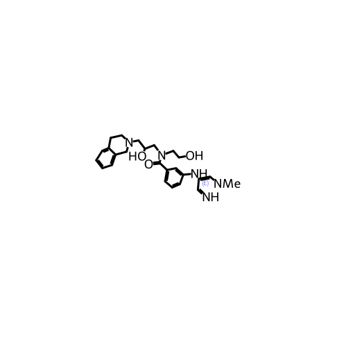 CN/C=C(\C=N)Nc1cccc(C(=O)N(CCO)CC(O)CN2CCc3ccccc3C2)c1